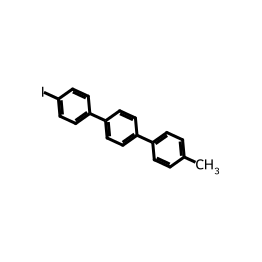 Cc1ccc(-c2ccc(-c3ccc(I)cc3)cc2)cc1